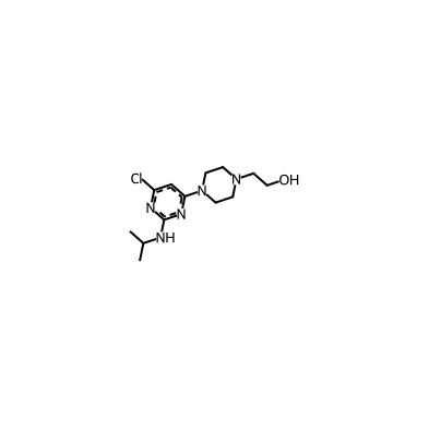 CC(C)Nc1nc(Cl)cc(N2CCN(CCO)CC2)n1